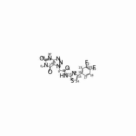 Cn1c(=O)c2c(nnn2CC(=O)Nc2nc(-c3ccc(F)c(F)c3)cs2)n(C)c1=O